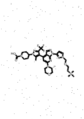 Cc1c(-c2cc(N3CCOC[C@H]3C)nc3c2cnn3-c2ccn(COCC[Si](C)(C)C)n2)c(C(F)(F)F)nn1C1CCN(C(=O)O)CC1